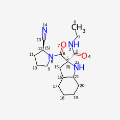 CCNC(=O)[C@@]1(C(=O)N2CCC[C@H]2C#N)CC2CCCCC2N1